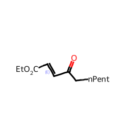 CCCCCCC(=O)/C=C/C(=O)OCC